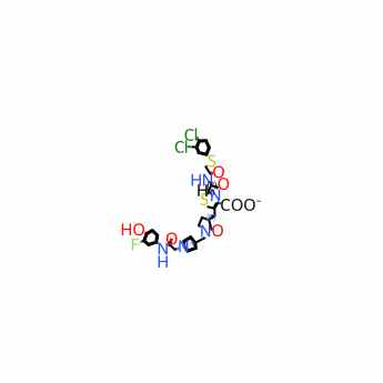 O=C(C[n+]1ccc(CN2CC/C(=C\C3=C(C(=O)[O-])N4C(=O)[C@@H](NC(=O)CSc5ccc(Cl)c(Cl)c5)[C@H]4SC3)C2=O)cc1)Nc1ccc(O)c(F)c1